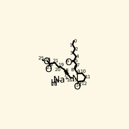 CCCCCC(=O)/C=C/C1CCCC(=O)N1CC#CCCCC(=O)OC.[H-].[Na+]